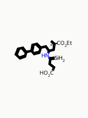 CCOC(=O)[C@H](C)CC(Cc1ccc(-c2ccccc2)cc1)NC(=[SiH2])CCC(=O)O